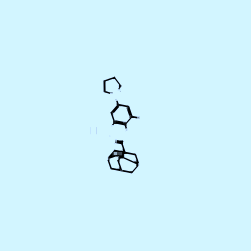 Cc1cc([S+]2CCCC2)cc(C)c1OC(=O)C12CC3CC(CC(C3)C1)C2